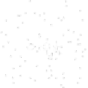 CC(C)(C)CN1CCC(c2ccc(C(O)(C(F)(F)F)C(F)(F)F)cc2)([S+]([O-])c2ccccc2)C1